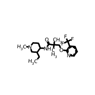 CCC1CN(C)CCC1NC(=O)C(C)(C)COc1ncccc1C(F)(F)F